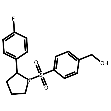 O=S(=O)(c1ccc(CO)cc1)N1CCCC1c1ccc(F)cc1